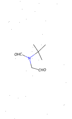 CC(C)(C)N(C=O)CC=O